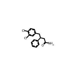 NC(=O)CC(Cc1ccc(Cl)c(Cl)c1)c1ccccc1